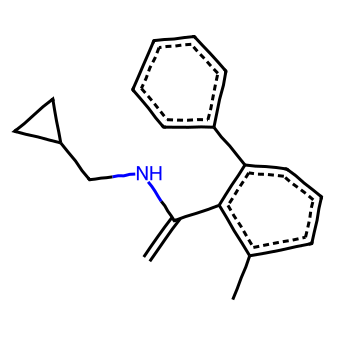 C=C(NCC1CC1)c1c(C)cccc1-c1ccccc1